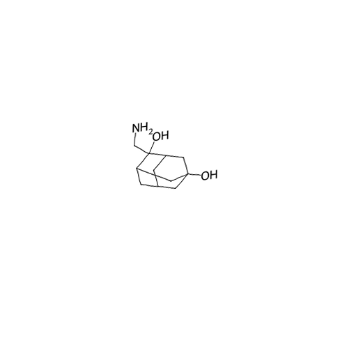 NCC1(O)C2CC3CC1CC(O)(C3)C2